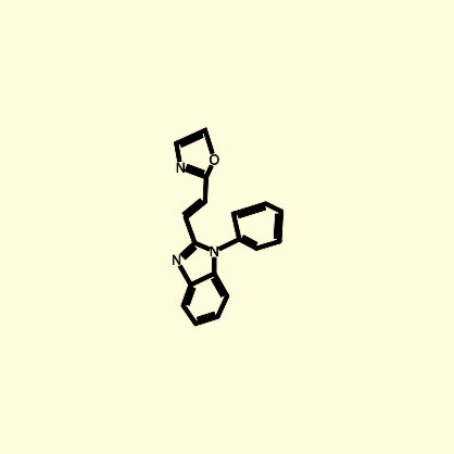 C(=Cc1nc2ccccc2n1-c1ccccc1)c1ncco1